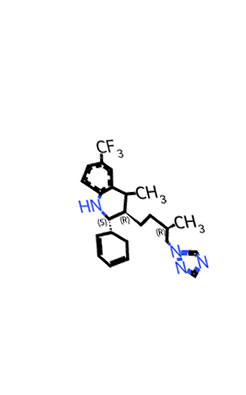 CC1c2cc(C(F)(F)F)ccc2N[C@@H](C2C=CC=CC2)[C@@H]1CC[C@@H](C)Cn1cncn1